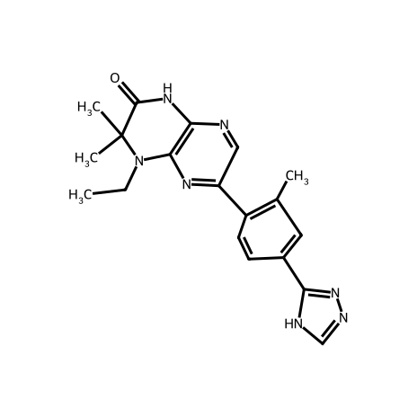 CCN1c2nc(-c3ccc(-c4nnc[nH]4)cc3C)cnc2NC(=O)C1(C)C